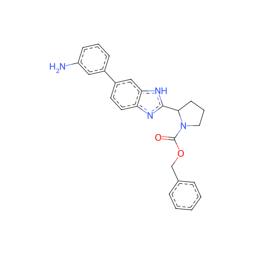 Nc1cccc(-c2ccc3nc(C4CCCN4C(=O)OCc4ccccc4)[nH]c3c2)c1